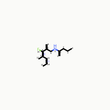 C=C(CCC)NCC(=C)/C(F)=C(C)\C=C/C